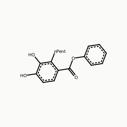 CCCCCc1c(C(=O)Oc2ccccc2)ccc(O)c1O